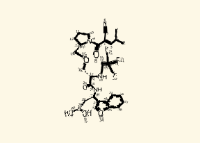 CC(C)C=C(C#N)C(=O)N1CCC[C@@H]1COC[C@H](NCC(F)(F)F)C(=O)N[C@H](CB(O)O)c1coc2ccccc12